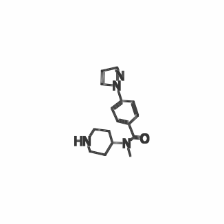 CN(C(=O)c1ccc(-n2cccn2)cc1)C1CCNCC1